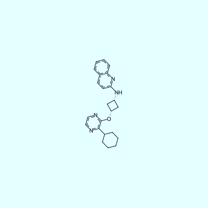 c1ccc2nc(N[C@H]3C[C@@H](Oc4nccnc4C4CCCCC4)C3)ccc2c1